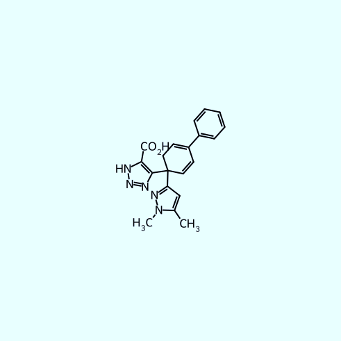 Cc1cc(C2(c3nn[nH]c3C(=O)O)C=CC(c3ccccc3)=CC2)nn1C